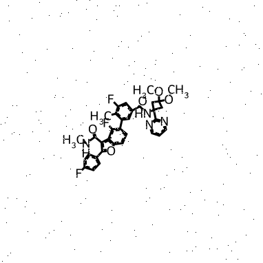 CNC(=O)c1c(-c2ccc(F)cc2)oc2ccc(-c3cc(C(=O)NC4(c5ncccn5)CC(OC)(OC)C4)cc(F)c3C)c(F)c12